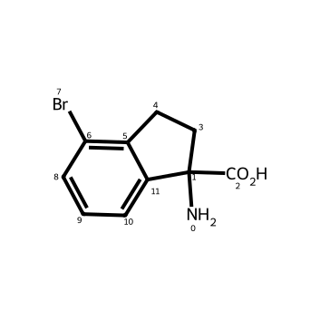 NC1(C(=O)O)CCc2c(Br)cccc21